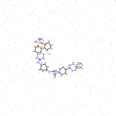 CC1(C)CCN(c2ccc(C(=O)NCc3ccc(CN(CCSc4ccccc4)Cc4ccc(S(N)(=O)=O)cc4)cc3)cc2)CC1